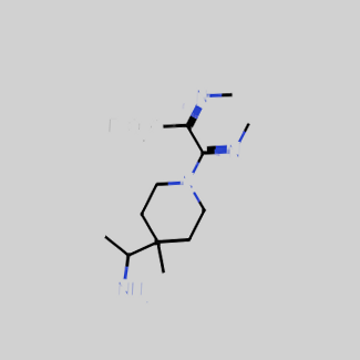 CCOC(=O)C(=N/C)/C(=N\C)N1CCC(C)(C(C)N)CC1